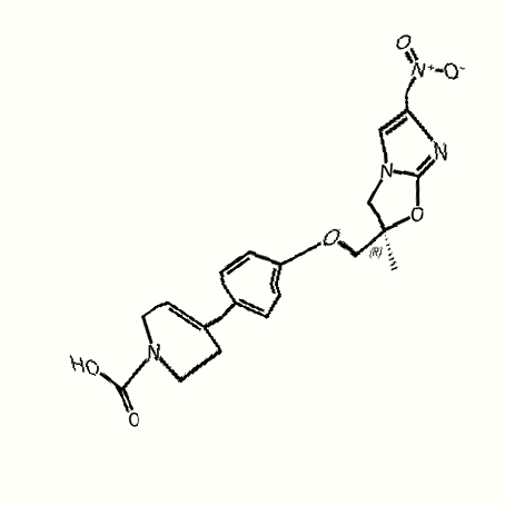 C[C@]1(COc2ccc(C3=CCN(C(=O)O)CC3)cc2)Cn2cc([N+](=O)[O-])nc2O1